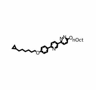 CCCCCCCCOc1ccc(-c2ccc(-c3ccc(OCCCCCCC4CC4)cc3)nc2)nn1